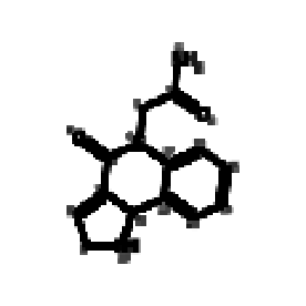 NC(=O)CN1C(=O)C2=CCNC2c2ccccc21